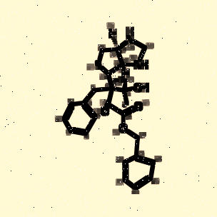 CCCC(C)(O)C(Cc1ccccc1)(C(=O)C(=O)OCc1ccccc1)C1SC[C@H]2NCN[C@@H]12